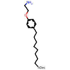 CCCCCCCCCCCCCCCCCCc1ccc(OCCN)cc1